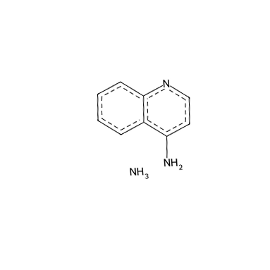 N.Nc1ccnc2ccccc12